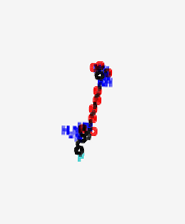 CCC(CC)(C(=O)NCCOCCOCCOCCOCCNc1ccc([N+](=O)[O-])c2nonc12)c1ccc(Cc2ccc(F)cc2)nc1C(N)=O